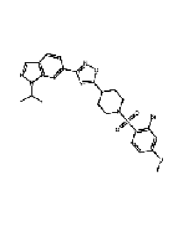 COc1ccc(S(=O)(=O)N2CCC(c3nc(-c4ccc5cnn(C(C)C)c5c4)no3)CC2)c(Br)c1